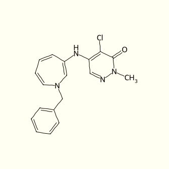 Cn1ncc(NC2=CN(Cc3ccccc3)C=CC=C2)c(Cl)c1=O